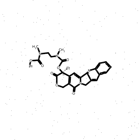 CC[C@@]1(OC(=O)N(C)CCN(C)C(=O)OC(C)C)C(=O)OCc2c1cc1n(c2=O)Cc2cc3ccccc3nc2-1